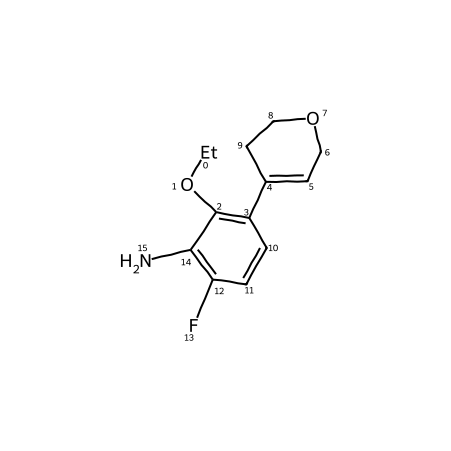 CCOc1c(C2=CCOCC2)ccc(F)c1N